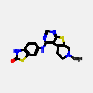 O=C(O)N1CCc2c(sc3ncnc(Nc4ccc5[nH]c(=O)sc5c4)c23)C1